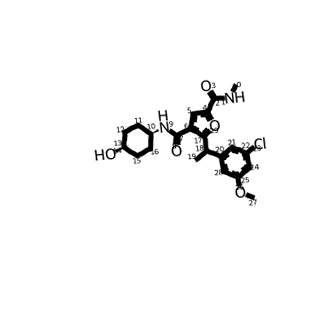 CNC(=O)c1cc(C(=O)N[C@H]2CC[C@H](O)CC2)c(C(C)c2cc(Cl)cc(OC)c2)o1